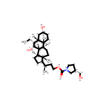 CC[C@H]1[C@@H](O)[C@@H]2[C@H](CC[C@]3(C)[C@@H]([C@H](C)CCOC(=O)N4CC[C@H](CO)C4)CC[C@@H]23)[C@@]2(C)CC[C@@H](O)C[C@@H]12